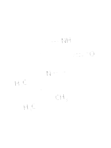 CC(C)(C)N1CCNC(=O)C1